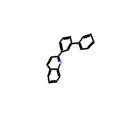 c1ccc(-c2cccc(-c3ccc4ccccc4n3)c2)cc1